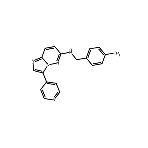 Cc1ccc(CNc2ccc3ncc(-c4ccncc4)n3n2)cc1